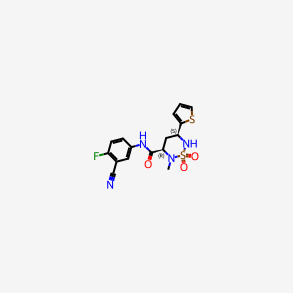 CN1[C@@H](C(=O)Nc2ccc(F)c(C#N)c2)C[C@@H](c2cccs2)NS1(=O)=O